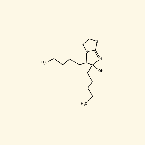 CCCCCC1N2CCSC2=NC1(O)CCCCC